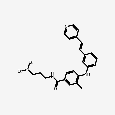 CCN(CC)CCCNC(=O)c1ccc(Nc2cccc(/C=C/c3ccncc3)c2)c(C)c1